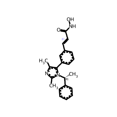 Cc1nc(C)n([C@H](C)c2ccccc2)c1-c1cccc(/C=C/C(=O)NO)c1